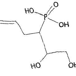 C=CCC(C(O)CO)P(=O)(O)O